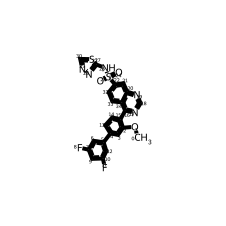 COc1cc(-c2cc(F)cc(F)c2)ccc1-c1ncnc2cc(S(=O)(=O)Nc3nncs3)ccc12